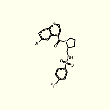 O=C(c1ccnc2ccc(Br)cc12)N1CCCC1CNS(=O)(=O)c1ccc(C(F)(F)F)cc1